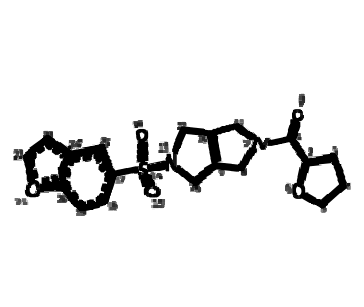 O=C(C1CCCO1)N1CC2=C(C1)CN(S(=O)(=O)c1ccc3occc3c1)C2